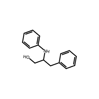 OCC(Cc1ccccc1)Nc1ccccc1